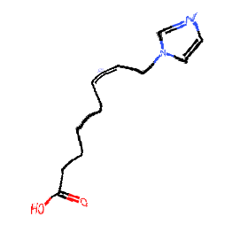 O=C(O)CCCC/C=C\Cn1ccnc1